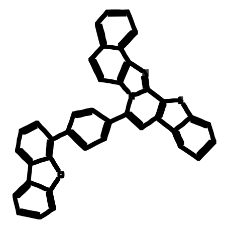 c1ccc2c(c1)ccc1c2nc2c3sc4ccccc4c3cc(-c3ccc(-c4cccc5c4oc4ccccc45)cc3)n12